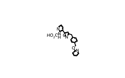 O=C(O)Nc1ncccc1-c1cc(Cc2ccc(COc3ccccn3)cc2)no1